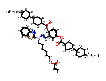 C=CC(=O)OCCCCCCN(/N=C/c1cc(OC(=O)C2CCC(C3CCC(CCCCC)CC3)CC2)ccc1OC(=O)C1CCC(C2CCC(CCCCC)CC2)CC1)c1nc2ccccc2s1